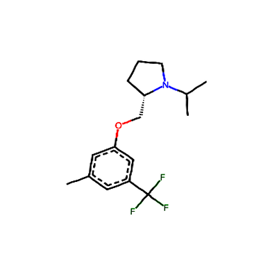 Cc1cc(OC[C@@H]2CCCN2C(C)C)cc(C(F)(F)F)c1